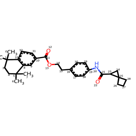 CC1(C)CCC(C)(C)c2cc(C(=O)OCCc3ccc(NC(=O)C4CC45CCC5)cc3)ccc21